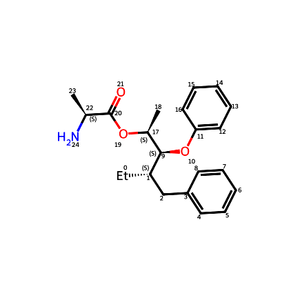 CC[C@@H](Cc1ccccc1)[C@H](Oc1ccccc1)[C@H](C)OC(=O)[C@H](C)N